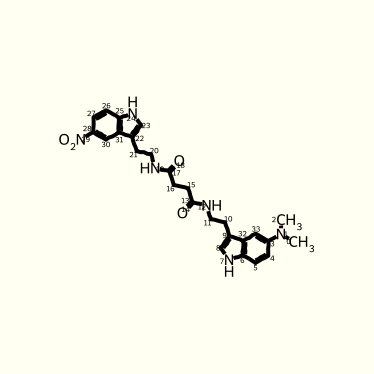 CN(C)c1ccc2[nH]cc(CCNC(=O)CCC(=O)NCCc3c[nH]c4ccc([N+](=O)[O-])cc34)c2c1